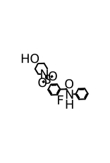 O=C(Nc1ccccc1)c1cc(S(=O)(=O)N2CCC(O)CC2)ccc1F